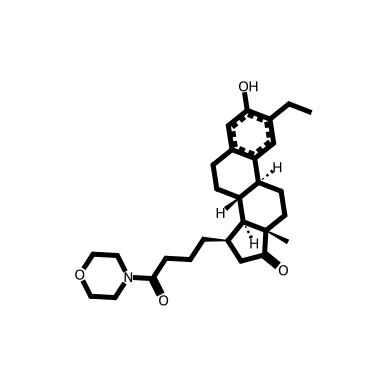 CCc1cc2c(cc1O)CC[C@H]1[C@@H]3[C@H](CCCC(=O)N4CCOCC4)CC(=O)[C@@]3(C)CC[C@H]21